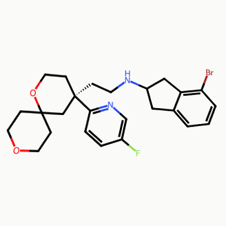 Fc1ccc([C@]2(CCNC3Cc4cccc(Br)c4C3)CCOC3(CCOCC3)C2)nc1